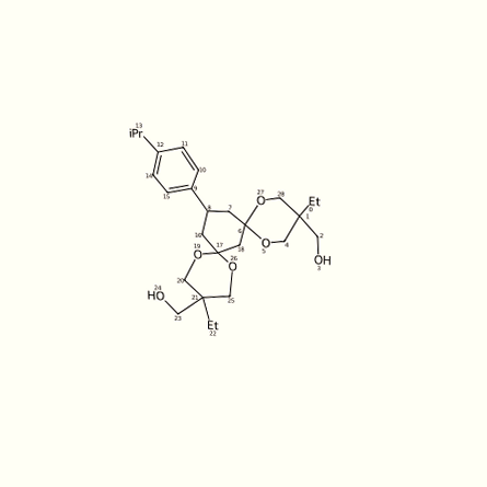 CCC1(CO)COC2(CC(c3ccc(C(C)C)cc3)CC3(C2)OCC(CC)(CO)CO3)OC1